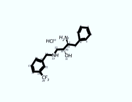 Cl.N[C@@H](Cc1ccccc1)[C@H](O)CNCc1cccc(C(F)(F)F)c1